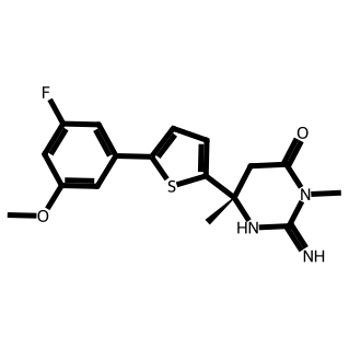 COc1cc(F)cc(-c2ccc([C@]3(C)CC(=O)N(C)C(=N)N3)s2)c1